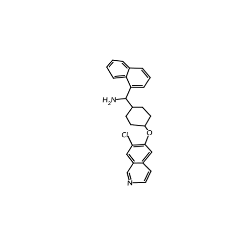 NC(c1cccc2ccccc12)C1CCC(Oc2cc3ccncc3cc2Cl)CC1